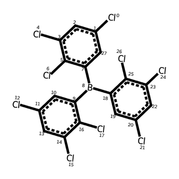 Clc1cc(Cl)c(Cl)c(B(c2cc(Cl)cc(Cl)c2Cl)c2cc(Cl)cc(Cl)c2Cl)c1